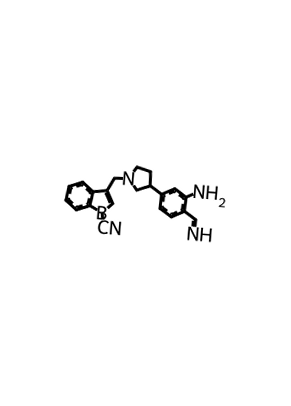 N#CB1C=C(CN2CCC(c3ccc(C=N)c(N)c3)C2)c2ccccc21